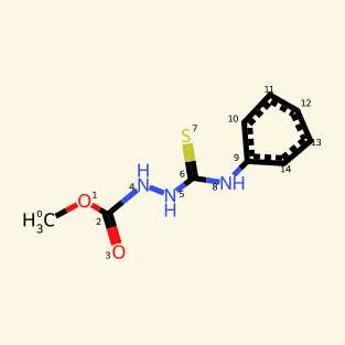 COC(=O)NNC(=S)Nc1ccccc1